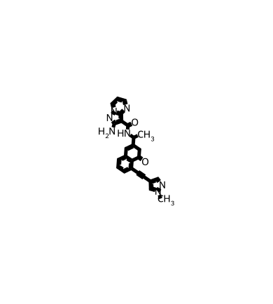 CC(NC(=O)c1c(N)nn2cccnc12)C1=Cc2cccc(C#Cc3cnn(C)c3)c2C(=O)C1